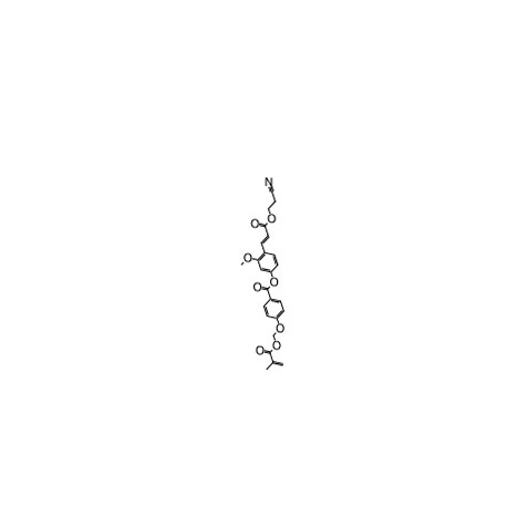 C=C(C)C(=O)OCOc1ccc(C(=O)Oc2ccc(/C=C/C(=O)OCCC#N)c(OC)c2)cc1